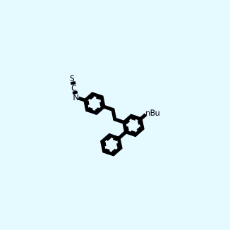 CCCCc1ccc(-c2ccccc2)c(CCc2ccc(N=C=S)cc2)c1